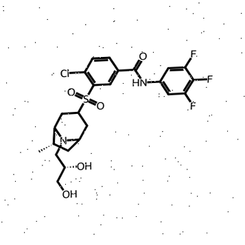 C[C@H]1CC2CC(S(=O)(=O)c3cc(C(=O)Nc4cc(F)c(F)c(F)c4)ccc3Cl)CC1N2C[C@H](O)CO